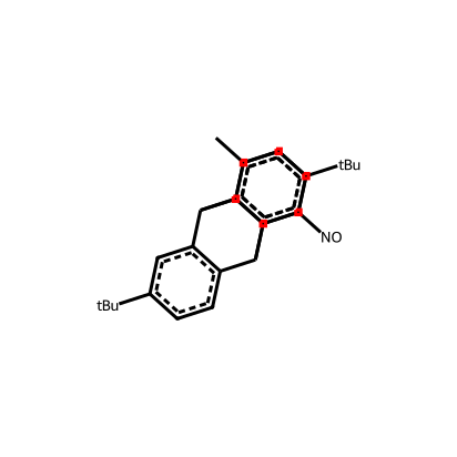 Cc1ccc(N=O)c2c1C1c3cc(C(C)(C)C)ccc3C2c2cc(C(C)(C)C)ccc21